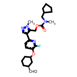 CN(CC1CCCC1)C(=O)OCc1c(-c2ccc(OC3CCC[C@H](C=O)C3)c(F)n2)cnn1C